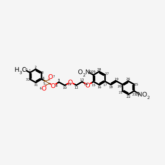 Cc1ccc(S(=O)(=O)OCCOCCOc2cc(/C=C/c3ccc([N+](=O)[O-])cc3)ccc2[N+](=O)[O-])cc1